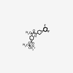 CN(C(=O)NC1CCN(c2cc(F)cc(F)c2)CC1)C1CCN(S(=O)OC(C)(C)C)CC1